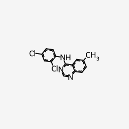 Cc1ccc2ncnc(Nc3ccc(Cl)cc3Cl)c2c1